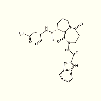 CC(=O)C[C@@H](C=O)NC(=O)[C@@H]1CCCN2C(=O)CCN(NC(=O)c3cc4ccccc4[nH]3)C(=O)N12